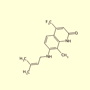 CC(C)=CCNc1ccc2c(C(F)(F)F)cc(=O)[nH]c2c1C